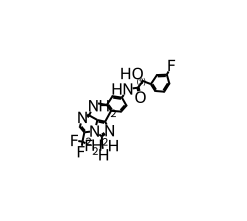 [2H]C([2H])([2H])c1nc(-c2ccc(NC(=O)[C@@H](O)c3cccc(F)c3)cc2C)c2c(N)ncc(C(F)(F)F)n12